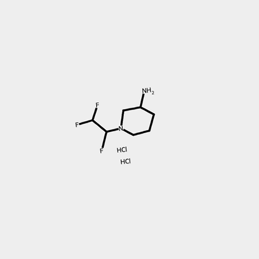 Cl.Cl.NC1CCCN(C(F)C(F)F)C1